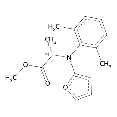 COC(=O)[C@H](C)N(c1ccco1)c1c(C)cccc1C